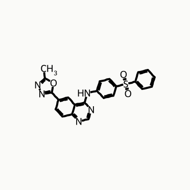 Cc1nnc(-c2ccc3ncnc(Nc4ccc(S(=O)(=O)c5ccccc5)cc4)c3c2)o1